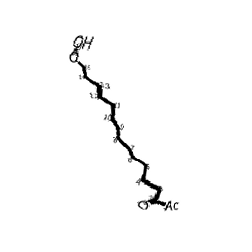 CC(=O)C(=O)CCCCCCCCCCCCCOO